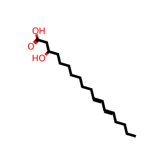 CCCCC=CC=CCCCCCCCC(O)CC(=O)O